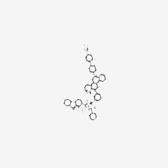 CC1(C)c2ccccc2-c2ccc(-c3nc(-c4ccccc4)nc(-c4cccc(-c5cc6c7ccccc7c(-c7ccc(-c8ccc(C#N)cc8)cc7)cc6c6cccnc56)c4)n3)cc21